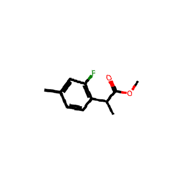 COC(=O)C(C)c1ccc(C)cc1F